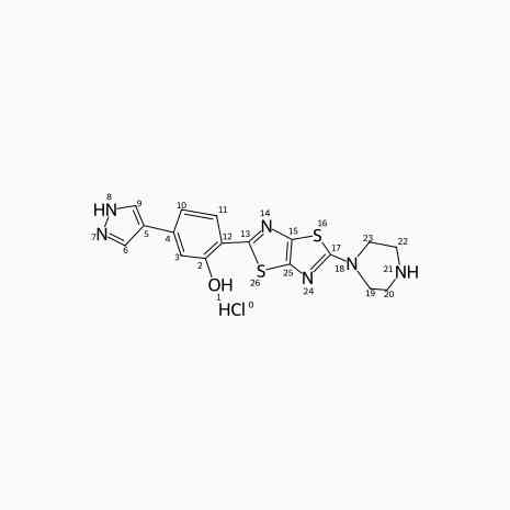 Cl.Oc1cc(-c2cn[nH]c2)ccc1-c1nc2sc(N3CCNCC3)nc2s1